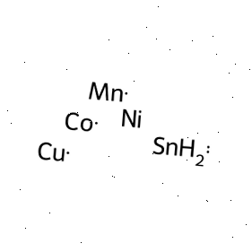 [Co].[Cu].[Mn].[Ni].[SnH2]